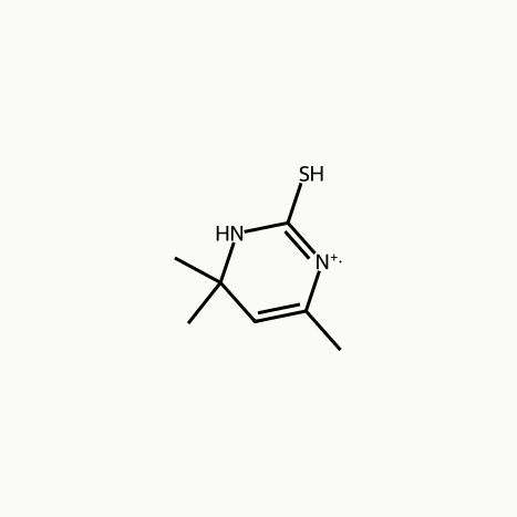 CC1=CC(C)(C)NC(S)=[N+]1